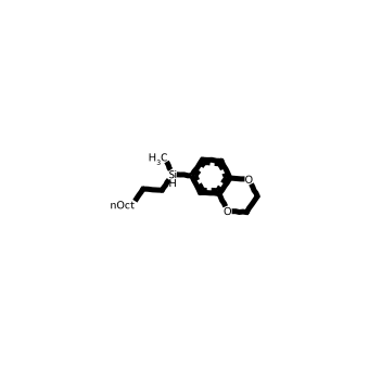 CCCCCCCCCC[SiH](C)c1ccc2c(c1)OCCO2